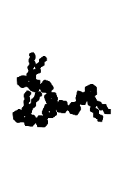 CCCCCCCC1(CCCCCC)c2ccccc2-c2ccc(-c3cccc(-c4ccc(N(c5ccc(-c6cccc(-c7ccc8c(c7)C(CCCCCCC)(CCCCCCC)c7ccccc7-8)c6)cc5)c5ccc(-c6cccc(-c7ccc8c(c7)C(CCCCCCC)(CCCCCCC)c7ccccc7-8)c6)cc5)cc4)c3)cc21